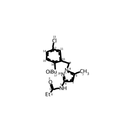 CCC(=O)Nc1cc(C)n(Cc2cc(Cl)ccc2OCC(C)C)n1